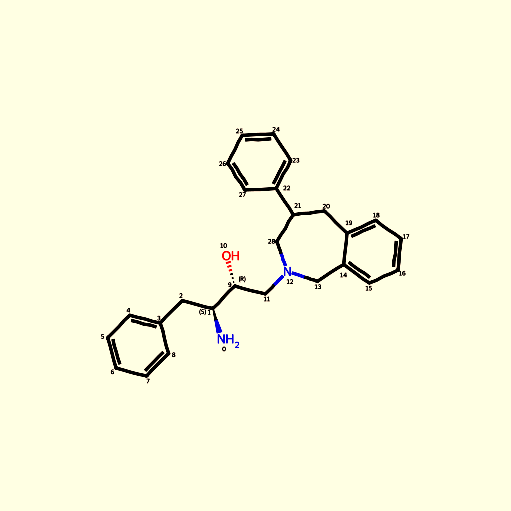 N[C@@H](Cc1ccccc1)[C@H](O)CN1Cc2ccccc2CC(c2ccccc2)C1